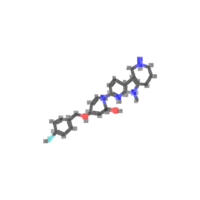 Cn1c2c(c3ccc(-n4ccc(OCc5ccc(F)cc5)cc4=O)nc31)CNCCC2